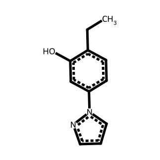 CCc1ccc(-n2cccn2)cc1O